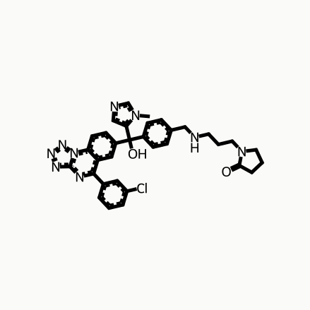 Cn1cncc1C(O)(c1ccc(CNCCCN2CCCC2=O)cc1)c1ccc2c(c1)c(-c1cccc(Cl)c1)nc1nnnn12